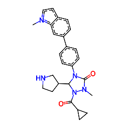 CN1C(=O)N(c2ccc(-c3ccc4ccn(C)c4c3)cc2)C(C2CCNC2)N1C(=O)C1CC1